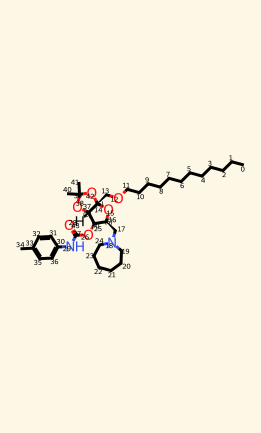 CCCCCCCCCCCCOC[C@@]12O[C@@H](CN3CCCCCC3)[C@@H](OC(=O)Nc3ccc(C)cc3)[C@@H]1OC(C)(C)O2